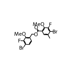 COc1c(COC(=O)c2cc(C)c(Br)c(F)c2OC)ccc(Br)c1F